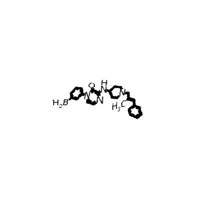 Bc1cccc(-n2ccnc(NC3CCN(C/C(C)=C/c4ccccc4)CC3)c2=O)c1